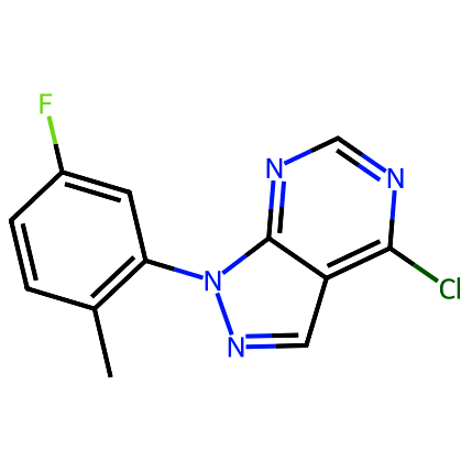 Cc1ccc(F)cc1-n1ncc2c(Cl)ncnc21